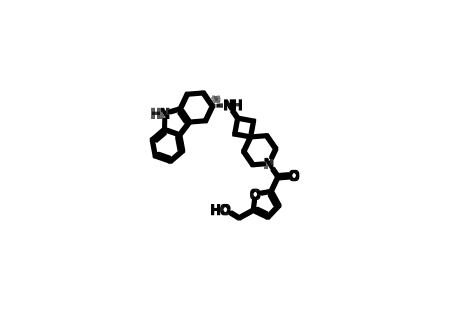 O=C(c1ccc(CO)o1)N1CCC2(CC1)CC(N[C@H]1CCc3[nH]c4ccccc4c3C1)C2